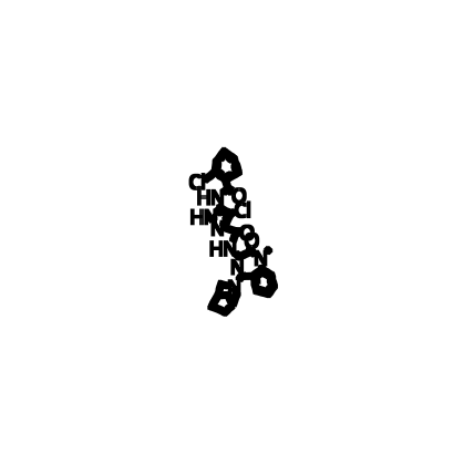 CN1C(=O)C(NC(=O)c2n[nH]c(NC(=O)c3ccccc3Cl)c2Cl)N=C(N2CC3CCC(C3)C2)c2ccccc21